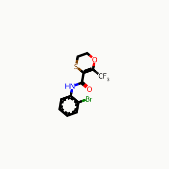 O=C(Nc1ccccc1Br)C1=C(C(F)(F)F)OCCS1